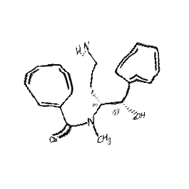 CN(C(=O)c1ccccc1)[C@H](CCN)[C@@H](O)c1ccccc1